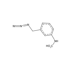 [N-]=[N+]=NCc1cccc(NC(=O)O)c1